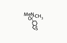 CN[C@H](C)C(=O)c1ccc2sccc2c1